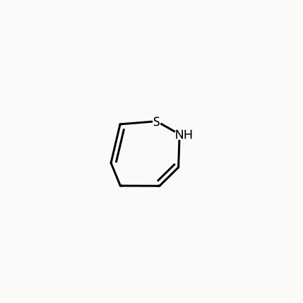 C1=CNSC=CC1